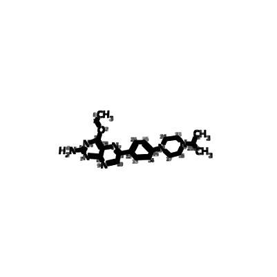 CCOc1nc(N)nc2ncc(-c3ccc(N4CCN(C(C)C)CC4)cc3)nc12